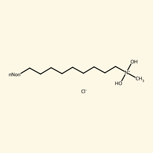 CCCCCCCCCCCCCCCCCC[N+](C)(O)O.[Cl-]